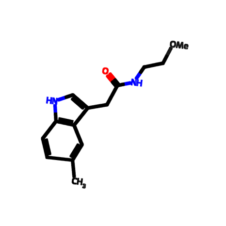 COCCNC(=O)Cc1c[nH]c2ccc(C)cc12